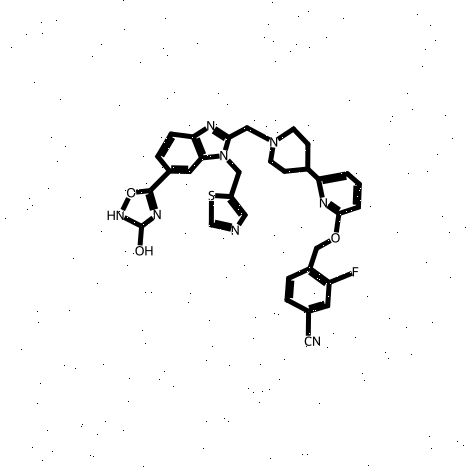 N#Cc1ccc(COc2cccc(C3CCN(Cc4nc5ccc(C6=NC(O)NO6)cc5n4Cc4cncs4)CC3)n2)c(F)c1